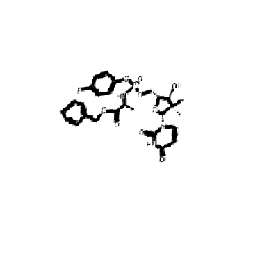 C[C@H](NP(=O)(OC[C@H]1O[C@@H](n2ccc(=O)[nH]c2=O)[C@](C)(F)[C@@H]1O)Oc1ccc(F)cc1)C(=O)OCc1ccccc1